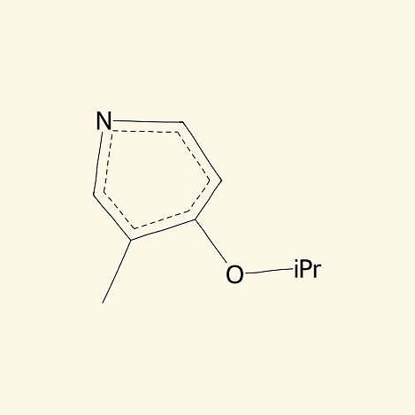 Cc1cnccc1OC(C)C